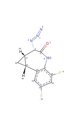 [N-]=[N+]=N[C@@H]1C(=O)Nc2c(F)cc(F)cc2[C@@H]2C[C@H]12